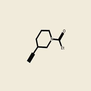 C#CC1CCCN(C(=O)CC)C1